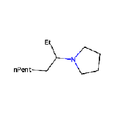 CCCCCCC(CC)N1CCCC1